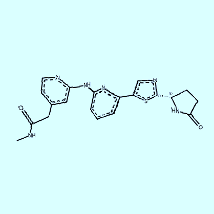 CNC(=O)Cc1ccnc(Nc2cccc(-c3cnc([C@@H]4CCC(=O)N4)s3)n2)c1